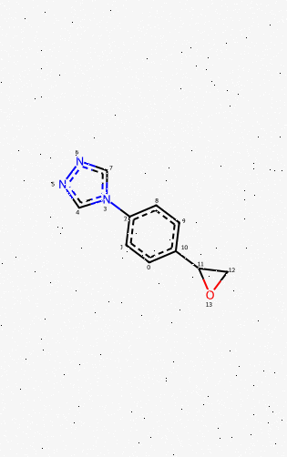 c1cc(-n2cnnc2)ccc1C1CO1